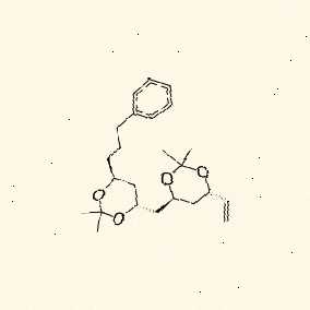 C=C[C@@H]1C[C@@H](C[C@H]2C[C@H](CCCc3ccccc3)OC(C)(C)O2)OC(C)(C)O1